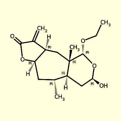 C=C1C(=O)O[C@@H]2C[C@@H](C)[C@@H]3C[C@H](O)O[C@@H](OCC)[C@@]3(C)C[C@H]12